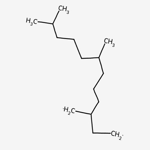 [CH2]CC([CH2])CCCC(C)CCCC(C)C